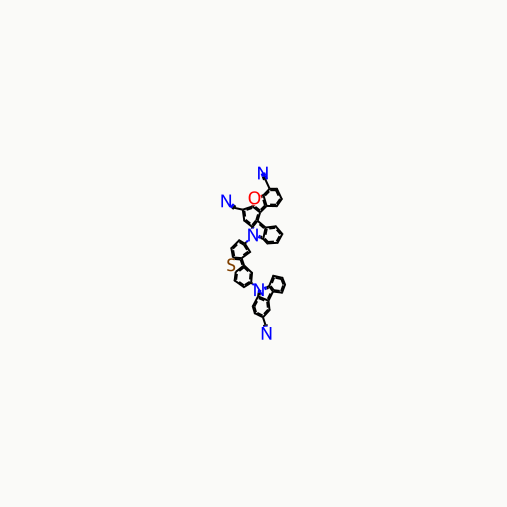 N#Cc1ccc2c(c1)c1ccccc1n2-c1ccc2sc3ccc(-n4c5ccccc5c5c6c(oc7c(C#N)cccc76)c(C#N)cc54)cc3c2c1